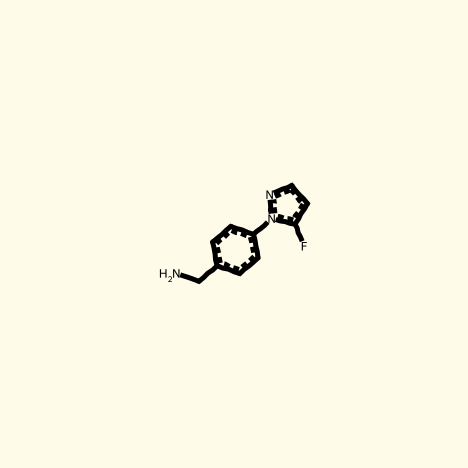 NCc1ccc(-n2nccc2F)cc1